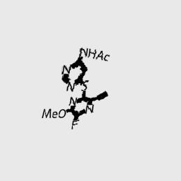 C#Cc1nc(F)c(OC)nc1Sc1cc(NC(C)=O)ncn1